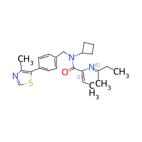 C/C=C(\N=C(/C)CC)C(=O)N(Cc1ccc(-c2scnc2C)cc1)C1CCC1